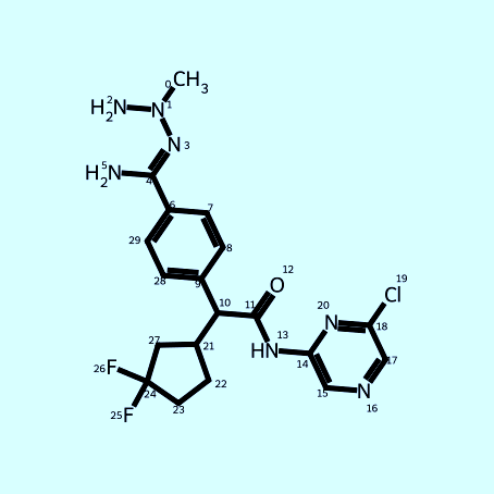 CN(N)/N=C(\N)c1ccc(C(C(=O)Nc2cncc(Cl)n2)C2CCC(F)(F)C2)cc1